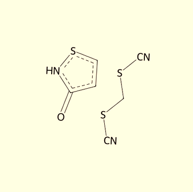 N#CSCSC#N.O=c1ccs[nH]1